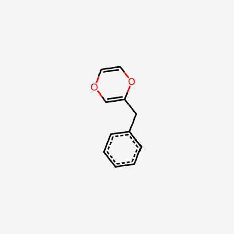 C1=COC(Cc2ccccc2)=CO1